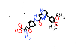 COc1ccc(-c2ccnc3cc(C(=O)Nc4ccc(C(=O)C[C@@H](N)C(=O)O)cc4)nn23)cc1OC